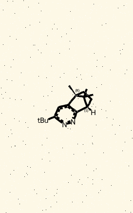 CC(C)(C)c1cc2c(nn1)[C@H]1CC[C@]2(C)C1(C)C